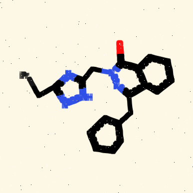 CC(C)Cc1n[nH]c(Cn2nc(Cc3ccccc3)c3ccccc3c2=O)n1